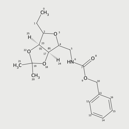 CCC1OC(CNC(=O)OCc2ccccc2)[C@H]2OC(C)(C)O[C@@H]12